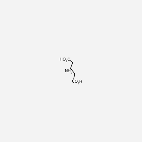 N.O=C(O)CCCC(=O)O